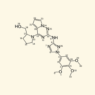 COc1cc(-n2cnc(Nc3nc(N4CCCC4CO)c4cccn4n3)n2)cc(OC)c1OC